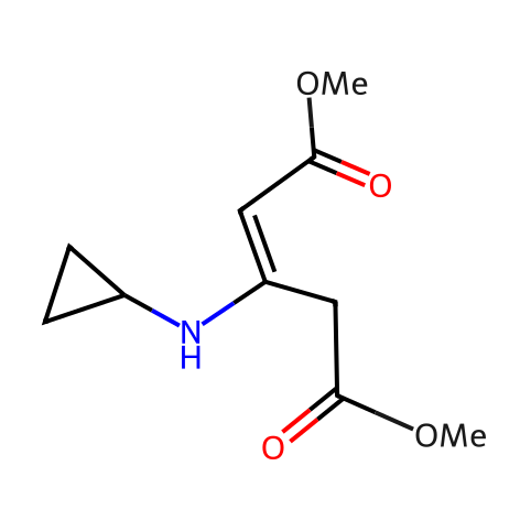 COC(=O)C=C(CC(=O)OC)NC1CC1